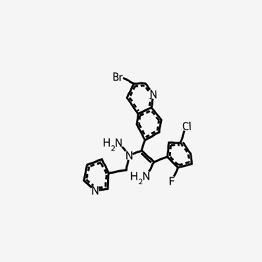 N/C(=C(/c1ccc2ncc(Br)cc2c1)N(N)Cc1cccnc1)c1cc(Cl)ccc1F